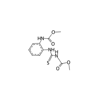 COC(=O)NC(=S)Nc1ccccc1NC(=O)OC